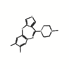 Cc1cc2c(cc1C)Sc1cscc1C(N1CCN(C)CC1)=N2